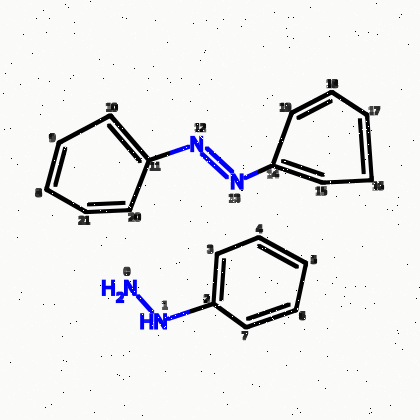 NNc1ccccc1.c1ccc(N=Nc2ccccc2)cc1